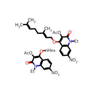 CCCCCCOc1c(OC(C)=O)c(=O)n(CC)c2cc([N+](=O)[O-])ccc12.CCn1c(=O)c(OC(C)=O)c(OC/C=C(\C)CCC=C(C)C)c2ccc([N+](=O)[O-])cc21